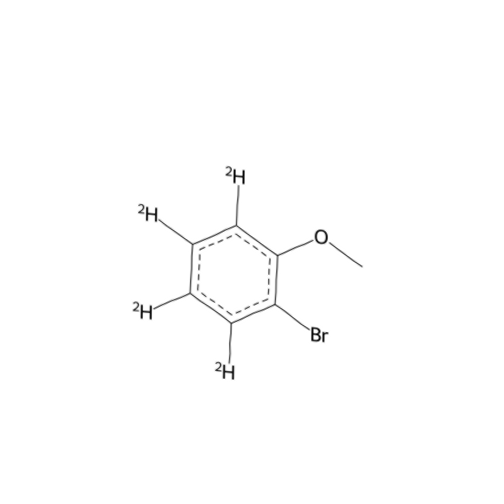 [2H]c1c([2H])c([2H])c(OC)c(Br)c1[2H]